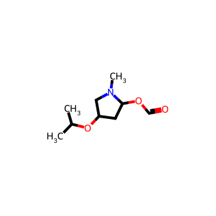 CC(C)OC1C[C](OC=O)N(C)C1